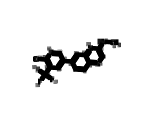 CNc1cnc2ccc(-c3cnc(Cl)c(C(F)(F)F)c3)cc2n1